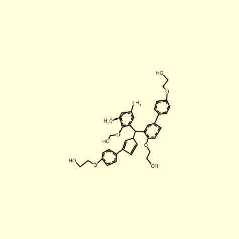 Cc1cc(C)c(OCO)c(C(c2cc(-c3ccc(OCCO)cc3)ccc2OCCO)C2C=CC(c3ccc(OCCO)cc3)=C2)c1